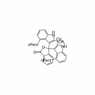 CCCCCc1cccc2[nH]c(C)c(C3(c4c(C)[nH]c5cccc(CCCCC)c45)OC(=O)c4ccccc43)c12